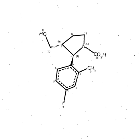 Cc1cc(F)ccc1[C@H]1[C@H](CO)CCN1C(=O)O